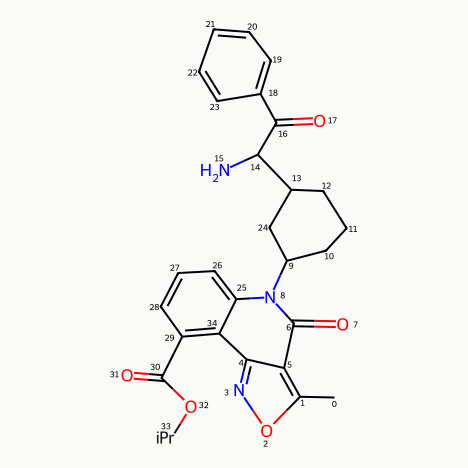 Cc1onc2c1c(=O)n(C1CCCC(C(N)C(=O)c3ccccc3)C1)c1cccc(C(=O)OC(C)C)c21